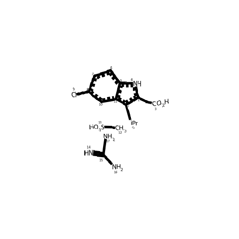 CC(C)c1c(C(=O)O)[nH]c2ccc(Cl)cc12.CS(=O)(=O)O.N=C(N)N